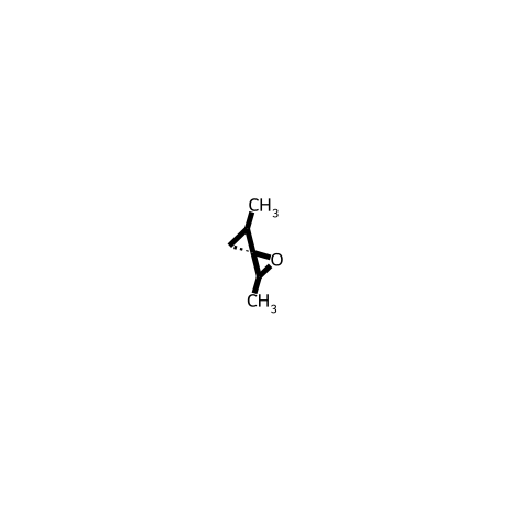 CC1C[C@@]12OC2C